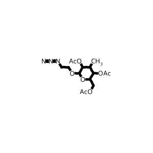 CC(=O)OCC1OC(OCCN=[N+]=[N-])C(OC(C)=O)C(C)C1OC(C)=O